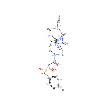 C[C@H]1CC2CN(C(=O)CS(=O)(=O)Cc3ccc(F)cc3)CC1N2c1ccc(C#N)cn1